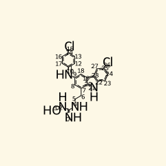 N=C(NO)NCCc1cc(Nc2ccc(Cl)cc2)cc2c1[nH]c1ccc(Cl)cc12